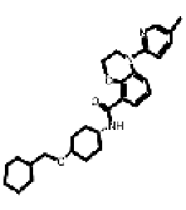 Cc1ccc(N2CCOc3c(C(=O)N[C@H]4CC[C@H](OCC5CCCCC5)CC4)cccc32)nc1